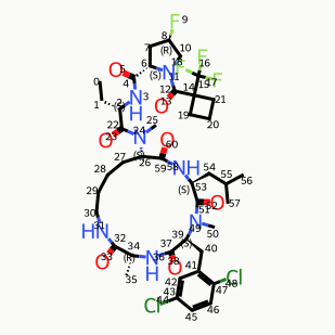 CC[C@H](NC(=O)[C@@H]1C[C@@H](F)CN1C(=O)C1(C(F)(F)F)CCC1)C(=O)N(C)[C@H]1CCCCNC(=O)[C@@H](C)NC(=O)[C@H](Cc2cc(Cl)ccc2Cl)N(C)C(=O)[C@H](CC(C)C)NC1=O